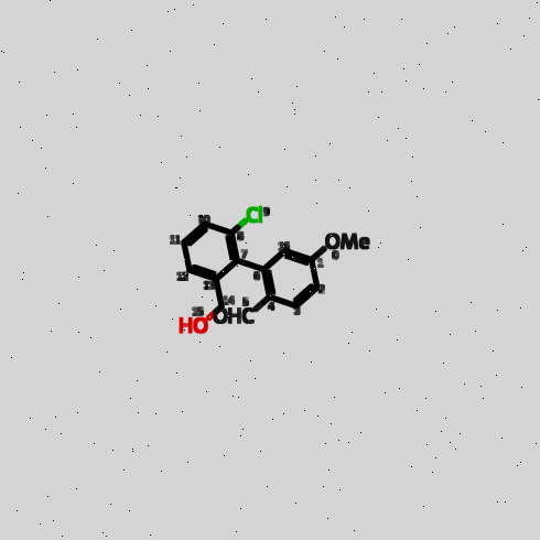 COc1ccc(C=O)c(-c2c(Cl)cccc2CO)c1